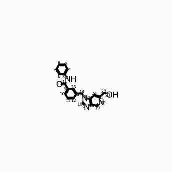 O=C(Nc1ccccc1)c1cccc(Cn2cnc3cnc(CO)cc32)c1